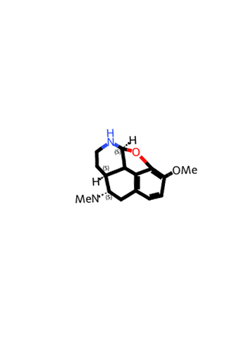 CN[C@H]1Cc2ccc(OC)c3c2C2[C@@H](NCC[C@@H]21)O3